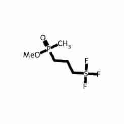 COP(C)(=O)CCCS(F)(F)F